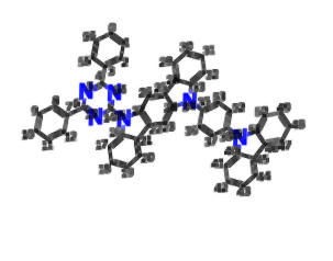 c1ccc(-c2nc(-c3ccccc3)nc(-n3c4ccccc4c4cc5c(cc43)c3ccccc3n5-c3ccc(-n4c5ccccc5c5ccccc54)cc3)n2)cc1